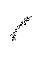 CC(CC1CCC(C)N1C(=O)c1ccc(N2CCN(C3CCN(c4ccc5c(c4)C(=O)C(C4CCC(=O)NC4=O)C5=O)CC3)CC2)cc1)Oc1ccc(C#N)c(Cl)c1